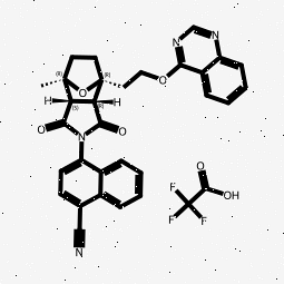 C[C@]12CC[C@](CCOc3ncnc4ccccc34)(O1)[C@@H]1C(=O)N(c3ccc(C#N)c4ccccc34)C(=O)[C@@H]12.O=C(O)C(F)(F)F